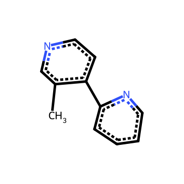 Cc1cnccc1-c1ccccn1